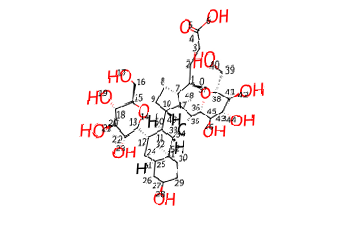 C[C@H](CCC(=O)O)[C@H]1CC[C@H]2[C@@H]3[C@@H](C4O[C@H](CO)[C@@H](O)[C@H](O)[C@H]4O)C[C@@H]4C[C@H](O)CC[C@]4(C)[C@H]3C[C@@H]([C@@H]3O[C@H](CO)[C@@H](O)[C@H](O)[C@H]3O)[C@]12C